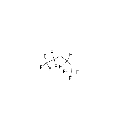 FC(F)(F)CC(F)(F)[CH]C(F)(F)C(F)(F)F